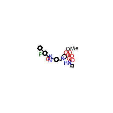 COC(=O)OC1(OC(=O)OC(=O)NC2CCC2)CCN(Cc2ccc(-c3noc(-c4ccc(-c5ccccc5)c(F)c4)n3)cc2)CC1